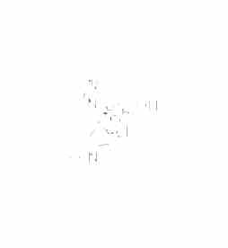 O=[N+]([O-])c1ccc([C@]2(Cn3ccnc3)OC[C@@H](CO)O2)c(Cl)c1